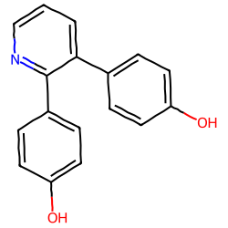 Oc1ccc(-c2cccnc2-c2ccc(O)cc2)cc1